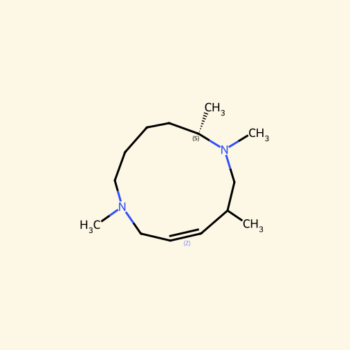 CC1/C=C\CN(C)CCCC[C@H](C)N(C)C1